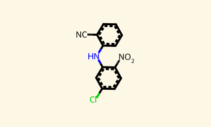 N#Cc1ccccc1Nc1cc(Cl)ccc1[N+](=O)[O-]